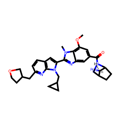 COc1cc(C(=O)N2CC3CCC2[C@@H]3N)cc2nc(-c3cc4ccc(CC5CCOC5)nc4n3CC3CC3)n(C)c12